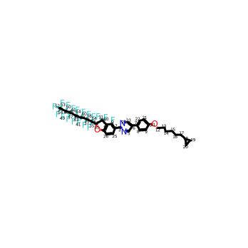 Fc1c(-c2ncc(-c3ccc(OCCCCCCC4CC4)cc3)cn2)ccc2c1C(F)(F)C(C(F)(F)C(F)(F)C(F)(F)C(F)(F)C(F)(F)C(F)(F)C(F)(F)F)O2